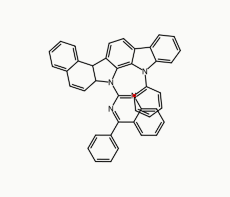 C1=CC2C(c3ccccc31)c1ccc3c4ccccc4n(-c4ccccc4)c3c1N2c1nc(-c2ccccc2)c2ccccc2n1